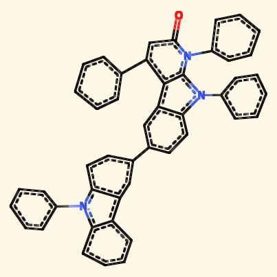 O=c1cc(-c2ccccc2)c2c3cc(-c4ccc5c(c4)c4ccccc4n5-c4ccccc4)ccc3n(-c3ccccc3)c2n1-c1ccccc1